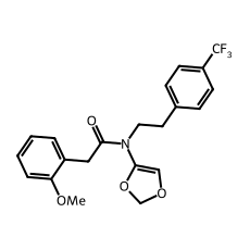 COc1ccccc1CC(=O)N(CCc1ccc(C(F)(F)F)cc1)C1=COCO1